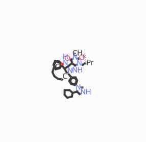 CC(C)CN1C(=O)N(C)C(=O)C2C1NN(Cc1ccc(N3CNCC3C3CCCCC3)cc1)C2(Nc1ccccc1)C1CCCCCCCCC1